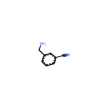 N#Cc1cccc([CH]N)c1